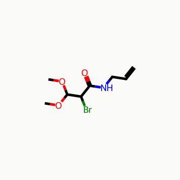 C=CCNC(=O)C(Br)C(OC)OC